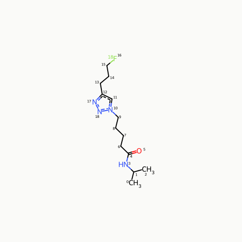 CC(C)NC(=O)CCCCn1cc(CCC[18F])nn1